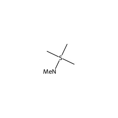 CNS(C)(C)C